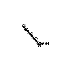 O=C(CSCCSCC[S+]([O-])CSCCSCSC(=O)CSCCSCCOOCSCCO)OCSCCO